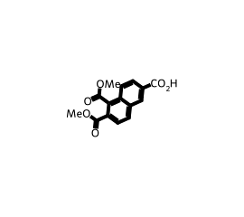 COC(=O)c1ccc2cc(C(=O)O)ccc2c1C(=O)OC